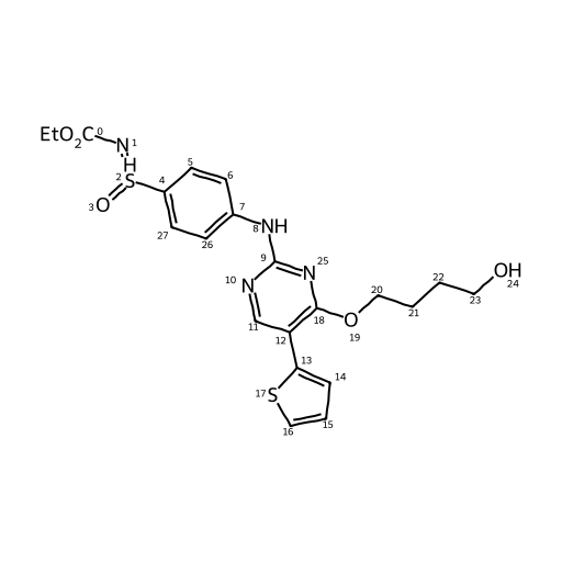 CCOC(=O)N=[SH](=O)c1ccc(Nc2ncc(-c3cccs3)c(OCCCCO)n2)cc1